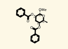 CO[C@@H]1O[C@@H](C)[C@@H](OC(=O)c2ccccc2)C[C@@H]1OC(=O)c1ccccc1